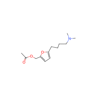 CC(=O)OCc1ccc(CCCCN(C)C)o1